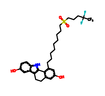 O=S(=O)(CCCCCCCCCc1cc(O)cc2c1-c1[nH]c3ccc(O)cc3c1CC2)CCCC(F)(F)C(F)(F)F